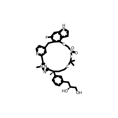 Cn1nc2nc1-c1cc(ccn1)Cc1c(F)cc3[nH]ccc3c1CCS(=O)(=O)CC(C)(C)CCC[C@]2(C)c1cccc(C[C@H](O)CO)c1